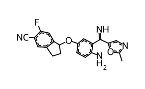 Cc1ncc(C(=N)c2cc(OC3CCc4cc(C#N)c(F)cc43)ccc2N)o1